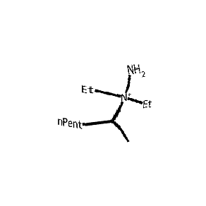 CCCCCC(C)[N+](N)(CC)CC